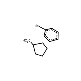 CCc1ccccc1.O=C(O)C1CCCC1